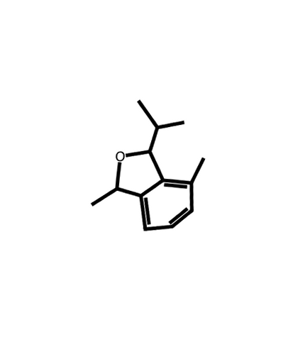 Cc1cccc2c1C(C(C)C)OC2C